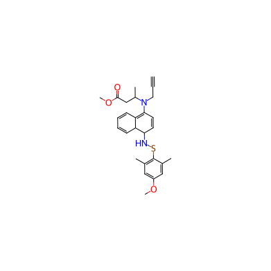 C#CCN(C1=C2C=CC=CC2C(NSc2c(C)cc(OC)cc2C)C=C1)C(C)CC(=O)OC